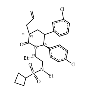 C=CC[C@@]1(C)CC(c2cccc(Cl)c2)[C@@H](c2ccc(Cl)cc2)N([C@@H](CC)CN(CC)S(=O)(=O)C2CCC2)C1=O